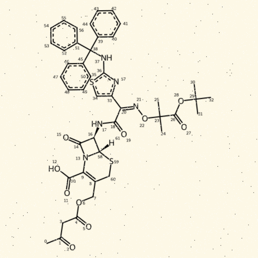 CC(=O)CC(=O)OCC1=C(C(=O)O)N2C(=O)[C@@H](NC(=O)/C(=N\OC(C)(C)C(=O)OC(C)(C)C)c3csc(NC(c4ccccc4)(c4ccccc4)c4ccccc4)n3)[C@@H]2SC1